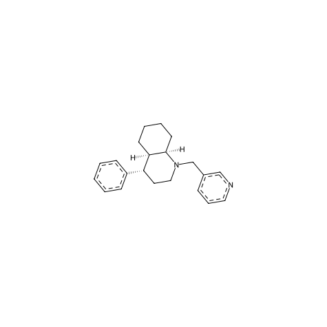 c1ccc([C@H]2CCN(Cc3cccnc3)[C@@H]3CCCC[C@H]23)cc1